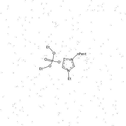 CCCCCn1cc[n+](CC)c1.CCOP(=O)([O-])OCC